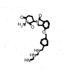 N=CNCNCc1ccc(COc2cccc3c2CN(C2CCC(=O)N(N)C2=O)C3=O)cc1